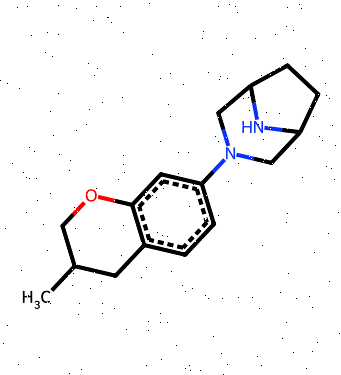 CC1COc2cc(N3CC4CCC(C3)N4)ccc2C1